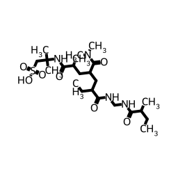 CCC(C)C(=O)NCNC(=O)C(CC)CC(CC(C)C(=O)NC(C)(C)CS(=O)(=O)O)C(=O)N(C)C